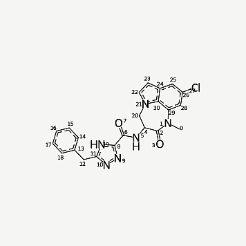 CN1C(=O)C(NC(=O)c2nnc(Cc3ccccc3)[nH]2)Cn2ccc3cc(Cl)cc1c32